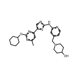 Cc1cc(-c2cnc(Nc3cc(CN4CCC(O)CC4)ccn3)s2)nc(OC2CCCCC2)n1